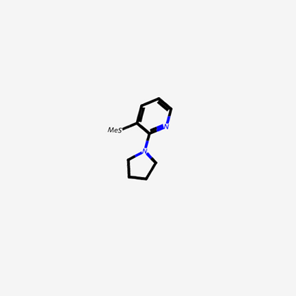 CSc1cccnc1N1CCCC1